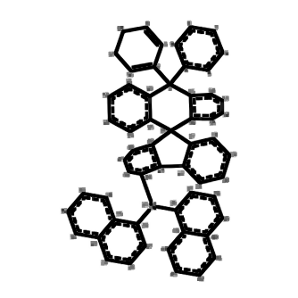 C1=CC(C2(c3ccccc3)c3ccccc3C3(c4ccccc4-c4c(N(c5cccc6ccccc56)c5cccc6ccccc56)cccc43)c3ccccc32)=CCC1